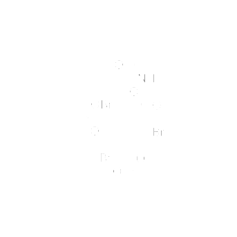 CC(=O)NOC(=O)c1c(Br)c(OC(C)=O)c(Br)c(OC(C)=O)c1Br